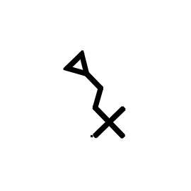 [CH2]C(C)(C)CCC1CC1